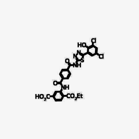 CCOC(=O)c1ccc(C(=O)O)cc1NC(=O)c1ccc(C(=O)Nc2nnc(-c3cc(Cl)cc(Cl)c3O)s2)cc1